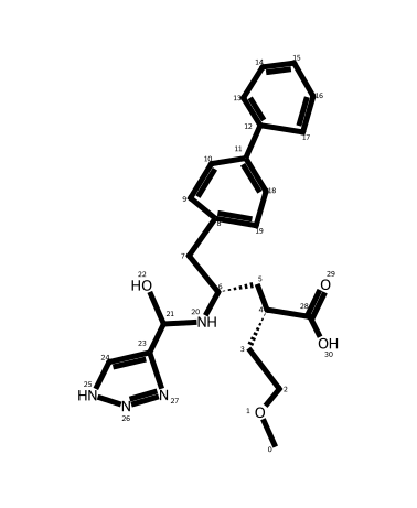 COCC[C@H](C[C@@H](Cc1ccc(-c2ccccc2)cc1)NC(O)c1c[nH]nn1)C(=O)O